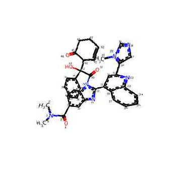 CN(C)C(=O)c1ccc2c(c1)nc(-c1cc(-c3cncn3C)nc3ccccc13)n2C(=O)C(O)(c1ccccc1)C1C=CCCC1=O